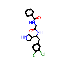 O=C(CNC(=O)c1ccccc1)NC(Cc1ccc(Cl)c(Cl)c1)C1CCNC1